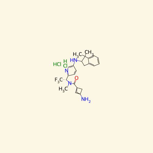 CN(C(=O)C12CC(N)(C1)C2)[C@@H](c1ccc(NC2Cc3ccccc3C2(C)C)cn1)C(F)(F)F.Cl.Cl